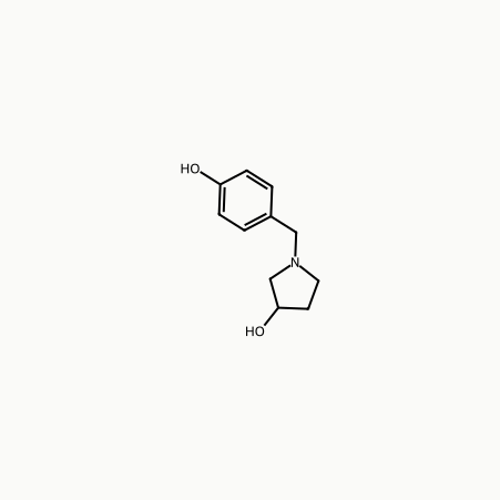 Oc1ccc(CN2CCC(O)C2)cc1